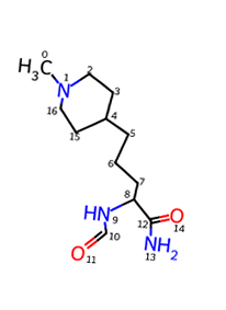 CN1CCC(CCCC(NC=O)C(N)=O)CC1